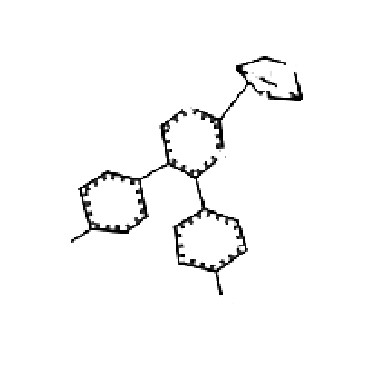 N#Cc1ccc(-c2nc(N3CC4CNCC3CO4)ncc2-c2ccc(F)cc2)cc1